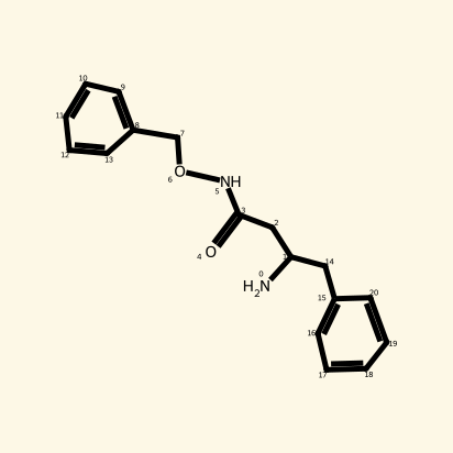 NC(CC(=O)NOCc1ccccc1)Cc1ccccc1